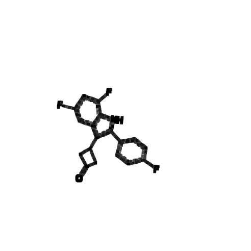 O=C1CC(c2c(-c3ccc(F)cc3)[nH]c3c(F)cc(F)cc23)C1